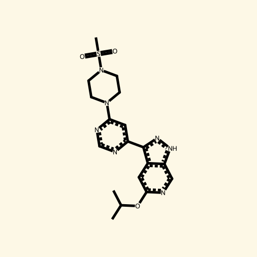 CC(C)Oc1cc2c(-c3cc(N4CCN(S(C)(=O)=O)CC4)ncn3)n[nH]c2cn1